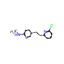 CNc1ccc(CCc2cccc(Cl)n2)cn1